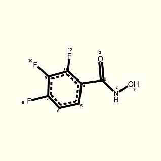 O=C(NO)c1ccc(F)c(F)c1F